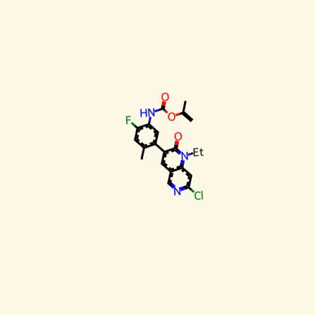 C=C(C)OC(=O)Nc1cc(-c2cc3cnc(Cl)cc3n(CC)c2=O)c(C)cc1F